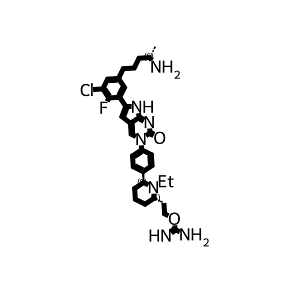 CCN1[C@H](CCOC(=N)N)CCC[C@H]1c1ccc(-n2cc3cc(-c4cc(CCC[C@H](C)N)cc(Cl)c4F)[nH]c3nc2=O)cc1